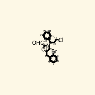 O=CC1OC(Cc2ccccc2Br)CN1C(CCCl)c1ccccc1